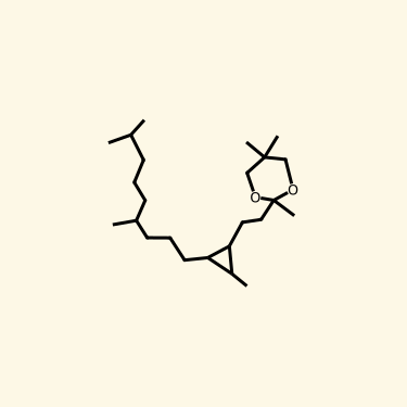 CC(C)CCCC(C)CCCC1C(C)C1CCC1(C)OCC(C)(C)CO1